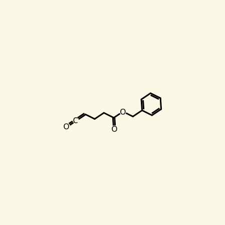 O=C=CCCC(=O)OCc1ccccc1